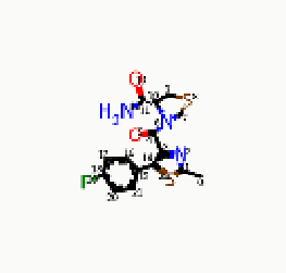 Cc1nc(C(=O)N2CSC[C@H]2C(N)=O)c(-c2ccc(F)cc2)s1